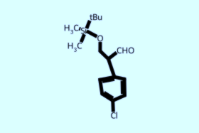 CC(C)(C)[Si](C)(C)OCC(C=O)c1ccc(Cl)cc1